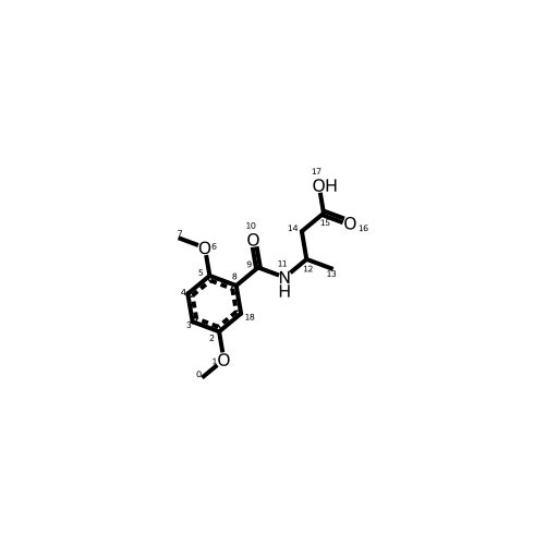 COc1ccc(OC)c(C(=O)NC(C)CC(=O)O)c1